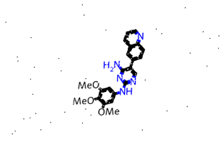 COc1cc(Nc2ncc(-c3ccc4ncccc4c3)c(N)n2)cc(OC)c1OC